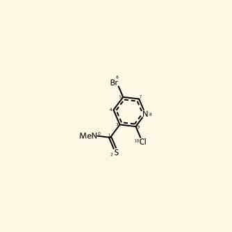 CNC(=S)c1cc(Br)cnc1Cl